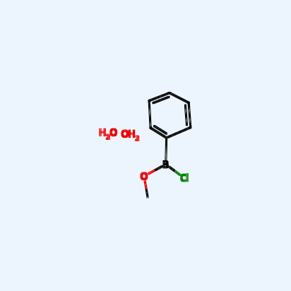 COB(Cl)c1ccccc1.O.O